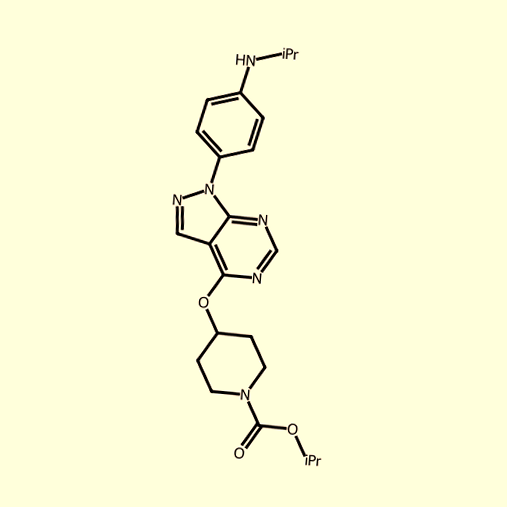 CC(C)Nc1ccc(-n2ncc3c(OC4CCN(C(=O)OC(C)C)CC4)ncnc32)cc1